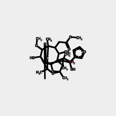 CCC12OC3(C)OC4(C)CC(C)(C(CC(=O)OC)C1C)C(OC)C4(O)C1OC(=O)CC(C(C)(C)C(O)c4ccoc4)C12O3